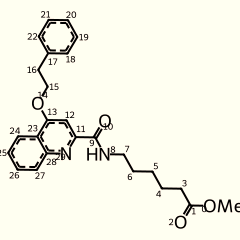 COC(=O)CCCCCNC(=O)c1cc(OCCc2ccccc2)c2ccccc2n1